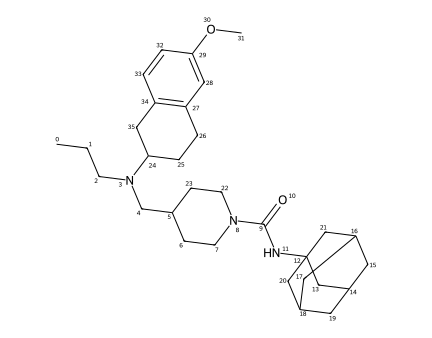 CCCN(CC1CCN(C(=O)NC23CC4CC(CC(C4)C2)C3)CC1)C1CCc2cc(OC)ccc2C1